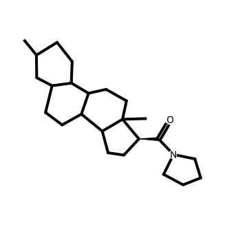 CC1CCC2C(CCC3C2CCC2(C)C3CC[C@@H]2C(=O)N2CCCC2)C1